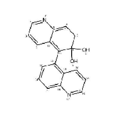 OC1(O)CC=c2ncccc2=C1c1cccc2ncccc12